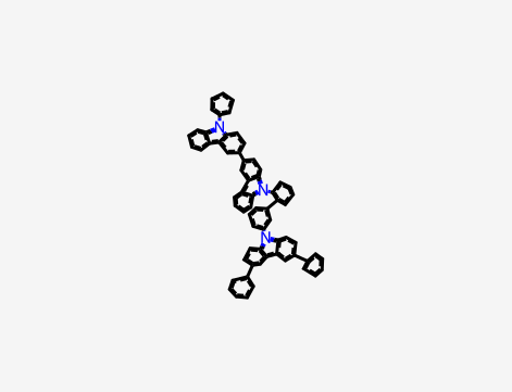 c1ccc(-c2ccc3c(c2)c2cc(-c4ccccc4)ccc2n3-c2cccc(-c3ccccc3-n3c4ccccc4c4cc(-c5ccc6c(c5)c5ccccc5n6-c5ccccc5)ccc43)c2)cc1